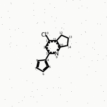 Clc1cc(C2=C=CC=C2)nc2c1CCC2